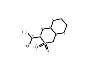 C=S1(=O)CC2CCCCC2CN1C(C)C